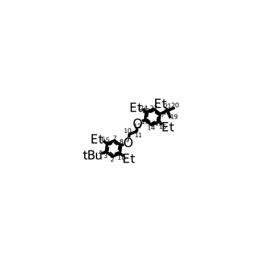 CCc1cc(C(C)(C)C)c(CC)cc1OCCOc1cc(CC)c(C(C)(C)CC)cc1CC